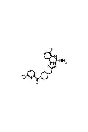 COc1cccc(C(=O)N2CCC(Cc3cn4c(N)nc5c(F)cccc5c4n3)CC2)n1